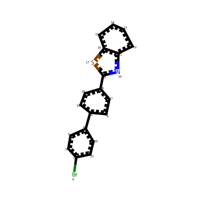 Brc1ccc(-c2ccc(-c3nc4ccccc4s3)cc2)cc1